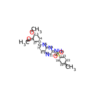 COc1ccc(-c2ccc3ncc(NS(=O)(=O)c4ccc(C)cc4)nc3n2)cc1OC